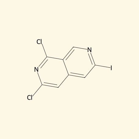 Clc1cc2cc(I)ncc2c(Cl)n1